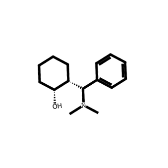 CN(C)C(c1ccccc1)[C@H]1CCCC[C@H]1O